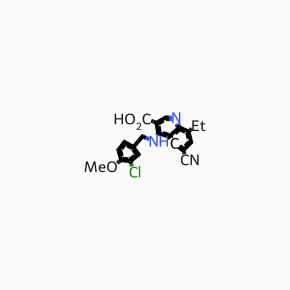 CCc1cc(C#N)cc2c(NCc3ccc(OC)c(Cl)c3)c(C(=O)O)cnc12